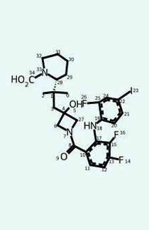 CC(C)(CC1(O)CN(C(=O)c2ccc(F)c(F)c2Nc2ccc(I)cc2F)C1)[C@H]1CCCCN1C(=O)O